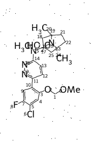 COCOc1cc(Cl)c(F)cc1-c1ccc(N(C)C2CC3(C)CC[C@@](C)(C2)N3C(=O)O)nn1